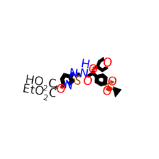 CCOC(=O)C(Oc1ccc2nc(NC(=O)C(OC3CCOCC3)c3ccc(S(=O)(=O)C4CC4)cc3)sc2n1)C(=O)O